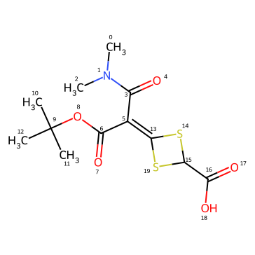 CN(C)C(=O)C(C(=O)OC(C)(C)C)=C1SC(C(=O)O)S1